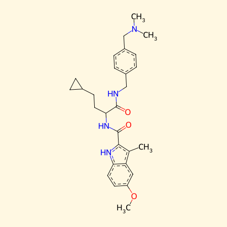 COc1ccc2[nH]c(C(=O)NC(CCC3CC3)C(=O)NCc3ccc(CN(C)C)cc3)c(C)c2c1